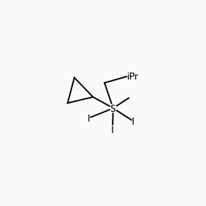 CC(C)CS(C)(I)(I)(I)C1CC1